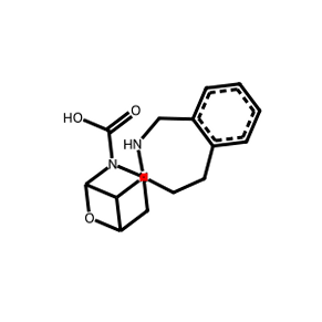 O=C(O)N1CCC2OC1C2N1CCc2ccccc2CN1